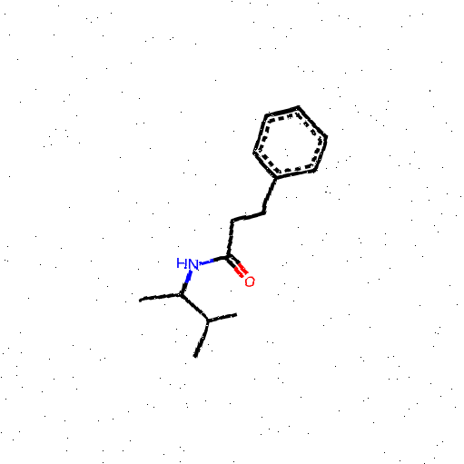 CC(C)C(C)NC(=O)CCc1ccccc1